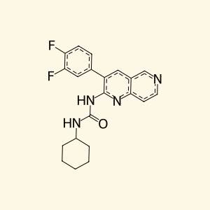 O=C(Nc1nc2ccncc2cc1-c1ccc(F)c(F)c1)NC1CCCCC1